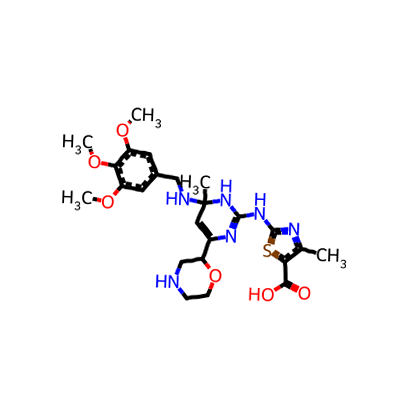 COc1cc(CNC2(C)C=C(C3CNCCO3)N=C(Nc3nc(C)c(C(=O)O)s3)N2)cc(OC)c1OC